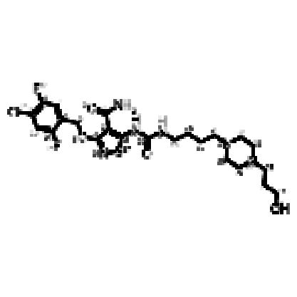 NC(=O)c1c(OCc2cc(F)c(Cl)cc2F)nsc1NC(=O)NCCCCN1CCN(CCCO)CC1